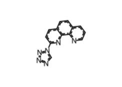 c1cnc2c(c1)ccc1ccc(-n3cnnn3)nc12